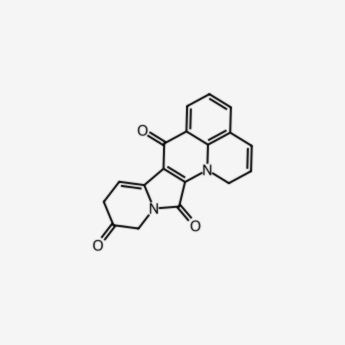 O=C1CC=C2c3c(n4c5c(cccc5c3=O)C=CC4)C(=O)N2C1